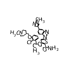 C[C@@H](Oc1cc(-n2cnc3cc(-c4cnn(C)c4)ccc32)sc1C(N)=O)c1cccc(OCC2CCN(C)CC2)c1Cl